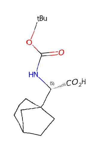 CC(C)(C)OC(=O)N[C@H](C(=O)O)C12CCC(CC1)C2